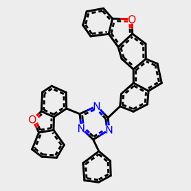 c1ccc(-c2nc(-c3ccc4ccc5cc6oc7ccccc7c6cc5c4c3)nc(-c3cccc4oc5ccccc5c34)n2)cc1